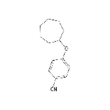 N#Cc1ccc(OC2CCCCCC2)cc1